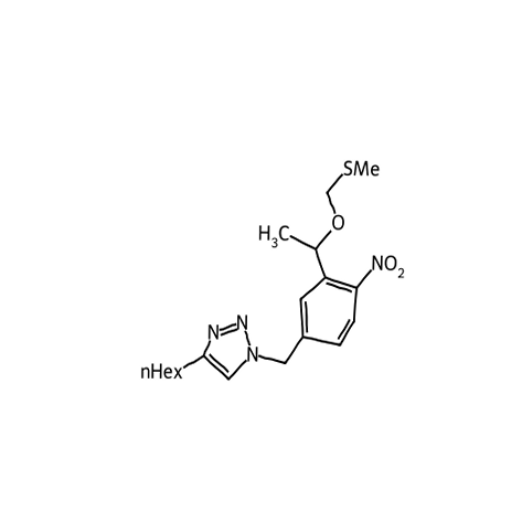 CCCCCCc1cn(Cc2ccc([N+](=O)[O-])c(C(C)OCSC)c2)nn1